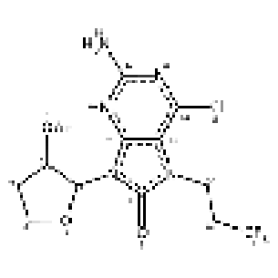 CC(=O)OC1CCOC1n1c(=O)n(CCC(F)(F)F)c2c(Cl)nc(N)nc21